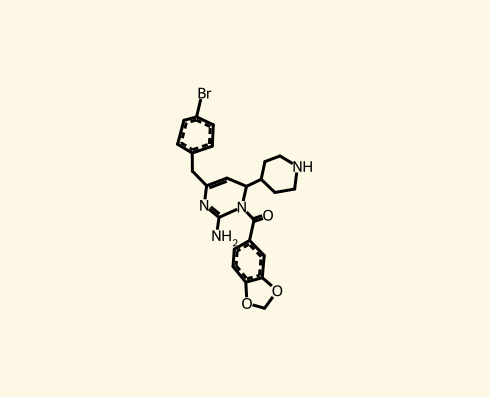 NC1=NC(Cc2ccc(Br)cc2)=CC(C2CCNCC2)N1C(=O)c1ccc2c(c1)OCO2